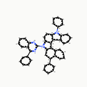 c1ccc(-c2nc(-n3c4cc(-c5ccccc5)c5ccccc5c4c4c5c6ccccc6n(-c6ccccc6)c5ccc43)nc3ccccc23)cc1